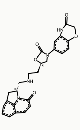 O=C1COc2ccc(N3C[C@@H](CCNC[C@H]4Cc5cccc6ccc(=O)n4c56)OC3=O)cc2N1